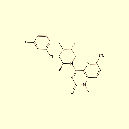 C[C@@H]1CN(c2nc(=O)n(C)c3ccc(C#N)nc23)[C@@H](C)CN1Cc1ccc(F)cc1Cl